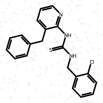 S=C(NCc1ccccc1Cl)Nc1ncccc1Cc1ccccc1